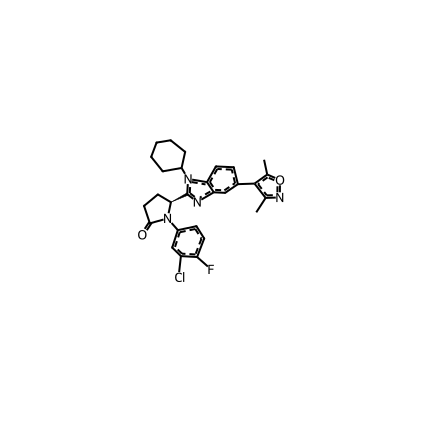 Cc1noc(C)c1-c1ccc2c(c1)nc([C@@H]1CCC(=O)N1c1ccc(F)c(Cl)c1)n2C1CCCCC1